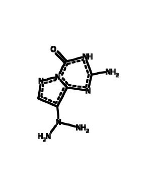 Nc1nc2c(N(N)N)cnn2c(=O)[nH]1